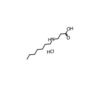 CCCCCCCNCCC(=O)O.Cl